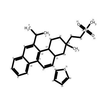 CC(C)c1cc2ccccc2c2c1C1CCC(C)(CCS(C)(=O)=O)CC1C=C2.c1ccsc1